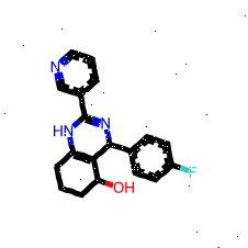 OC1CCCC2=C1C(c1ccc(F)cc1)N=C(c1cccnc1)N2